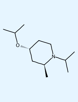 CC(C)O[C@@H]1CCN(C(C)C)[C@@H](C)C1